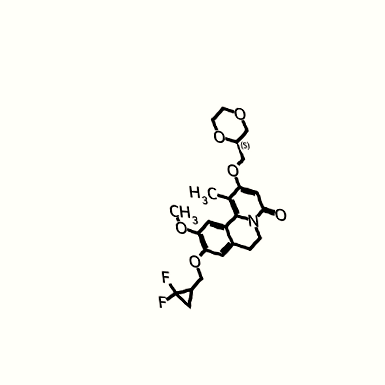 COc1cc2c(cc1OCC1CC1(F)F)CCn1c-2c(C)c(OC[C@@H]2COCCO2)cc1=O